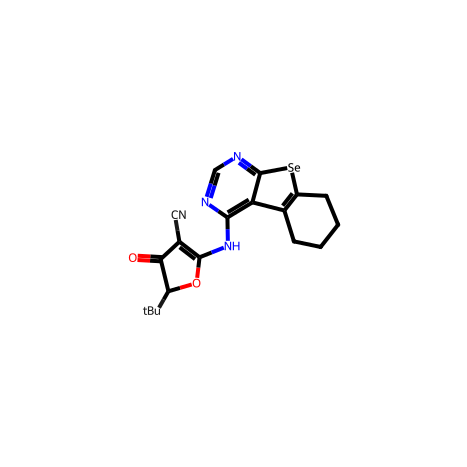 CC(C)(C)C1OC(Nc2ncnc3[se]c4c(c23)CCCC4)=C(C#N)C1=O